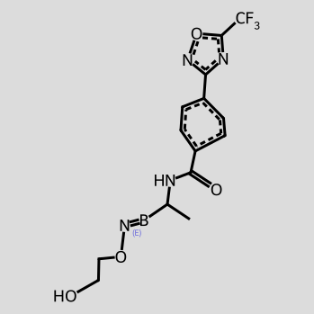 CC(/B=N/OCCO)NC(=O)c1ccc(-c2noc(C(F)(F)F)n2)cc1